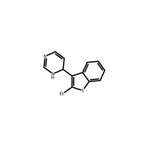 CCc1sc2ccccc2c1C1C=CN=CN1